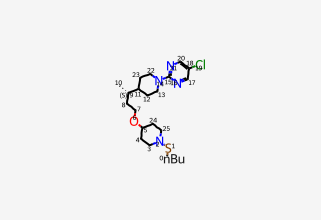 CCCCSN1CCC(OCC[C@H](C)C2CCN(c3ncc(Cl)cn3)CC2)CC1